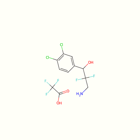 NCC(F)(F)C(O)c1ccc(Cl)c(Cl)c1.O=C(O)C(F)(F)F